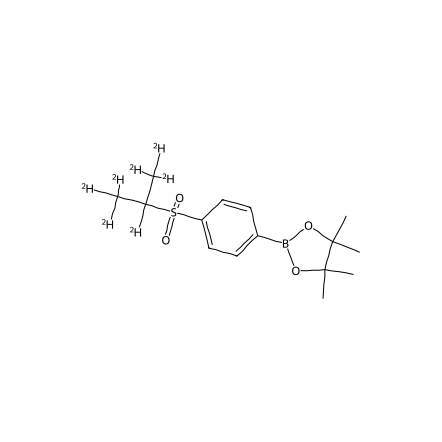 [2H]C([2H])([2H])C([2H])(C([2H])([2H])[2H])S(=O)(=O)c1ccc(B2OC(C)(C)C(C)(C)O2)cc1